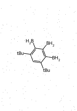 Bc1c(C(C)(C)C)cc(C(C)(C)C)c(B)c1B